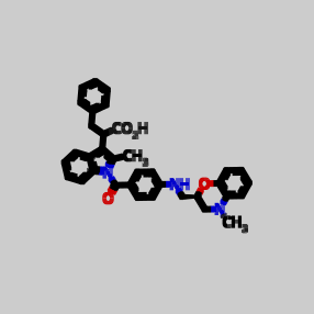 Cc1c(C(Cc2ccccc2)C(=O)O)c2ccccc2n1C(=O)c1ccc(NC[C@@H]2CN(C)c3ccccc3O2)cc1